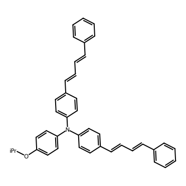 CC(C)Oc1ccc(N(c2ccc(/C=C/C=C/c3ccccc3)cc2)c2ccc(/C=C/C=C/c3ccccc3)cc2)cc1